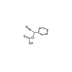 N#CC(OC(=S)S)c1ccccc1